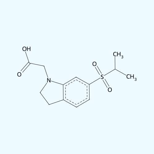 CC(C)S(=O)(=O)c1ccc2c(c1)N(CC(=O)O)CC2